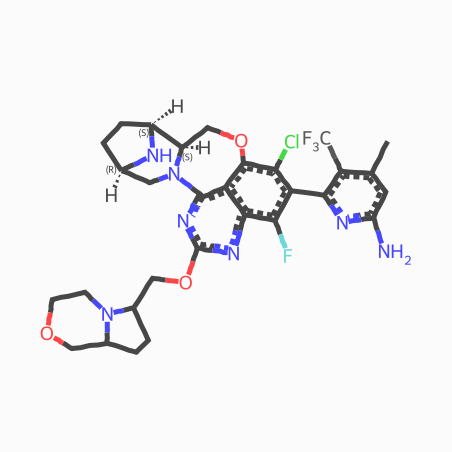 Cc1cc(N)nc(-c2c(Cl)c3c4c(nc(OCC5CCC6COCCN65)nc4c2F)N2C[C@H]4CC[C@H](N4)[C@H]2CO3)c1C(F)(F)F